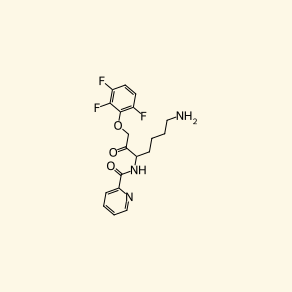 NCCCCC(NC(=O)c1ccccn1)C(=O)COc1c(F)ccc(F)c1F